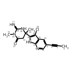 CC#Cc1cnc2[nH]c(C3(C)CC(=O)N(C)C(=N)N3)c(Cl)c2c1